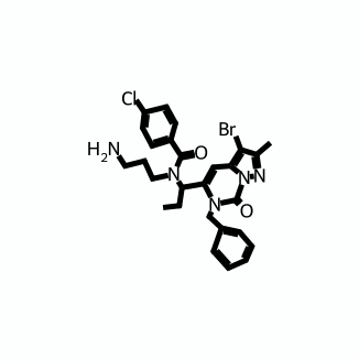 CCC(c1cc2c(Br)c(C)nn2c(=O)n1Cc1ccccc1)N(CCCN)C(=O)c1ccc(Cl)cc1